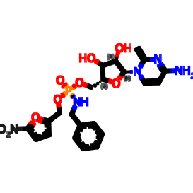 C=C1N=C(N)C=CN1[C@@H]1O[C@H](COP(=O)(NCc2ccccc2)OCc2ccc([N+](=O)[O-])o2)C(O)[C@H]1O